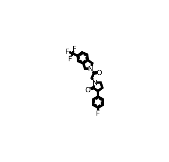 O=C(CN1CCC(c2ccc(F)cc2)C1=O)N1Cc2ccc(C(F)(F)F)cc2C1